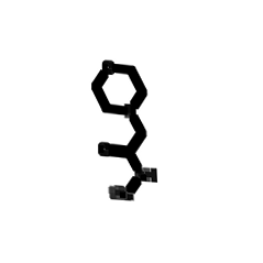 CC(C)(C)NC(=O)CN1CCOCC1